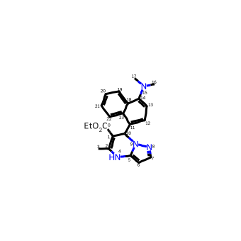 CCOC(=O)C1=C(C)Nc2ccnn2C1c1ccc(N(C)C)c2ccccc12